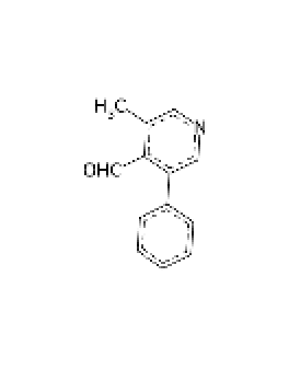 Cc1cncc(-c2ccccc2)c1C=O